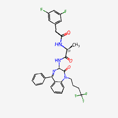 C[C@H](NC(=O)Cc1cc(F)cc(F)c1)C(=O)NC1N=C(c2ccccc2)c2ccccc2N(CCCC(F)(F)F)C1=O